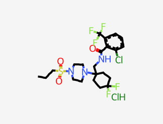 CCCS(=O)(=O)N1CCN(C2(CNC(=O)c3c(Cl)cccc3C(F)(F)F)CCC(F)(F)CC2)CC1.Cl